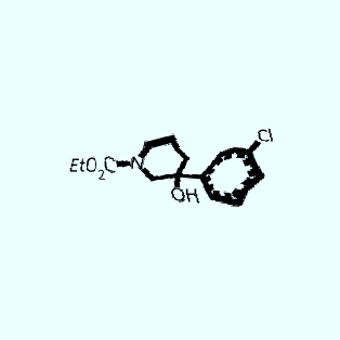 CCOC(=O)N1CCCC(O)(c2cccc(Cl)c2)C1